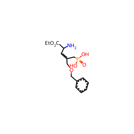 CCOC(=O)C(N)C=C(COCc1ccccc1)CP(=O)(O)O